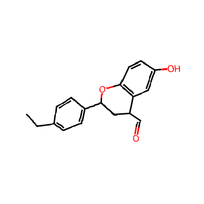 CCc1ccc(C2CC(C=O)c3cc(O)ccc3O2)cc1